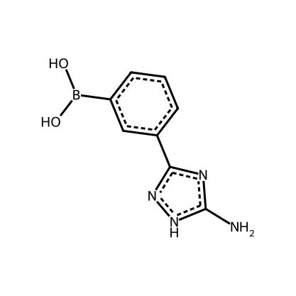 Nc1nc(-c2cccc(B(O)O)c2)n[nH]1